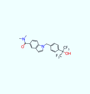 CN(C)C(=O)c1ccc2c(ccn2Cc2ccc(C(O)(C(F)(F)F)C(F)(F)F)cc2)c1